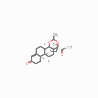 CC1O[C@@]2(C(=O)C=O)CC[C@@]3(O1)[C@@H]1CCC4=CC(=O)CC[C@]4(C)[C@@]1(Cl)[C@@H](F)C[C@]23C